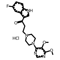 COc1ncnc(N2CCN(CCC(=O)c3c[nH]c4ccc(F)cc34)CC2)c1OC.Cl